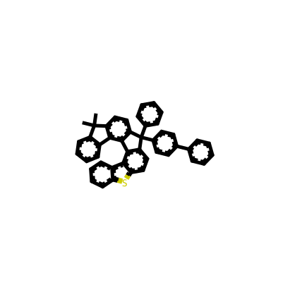 CC1(C)c2ccccc2-c2c1ccc1c2-c2c(ccc3sc4ccccc4c23)C1(c1ccccc1)c1ccc(-c2ccccc2)cc1